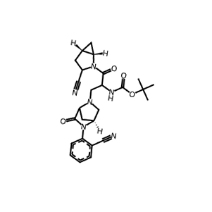 CC(C)(C)OC(=O)NC(CN1C[C@@H]2CC1C(=O)N2c1ccccc1C#N)C(=O)N1C(C#N)C[C@@H]2C[C@@H]21